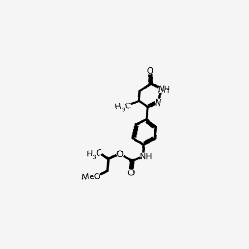 COCC(C)OC(=O)Nc1ccc(C2=NNC(=O)CC2C)cc1